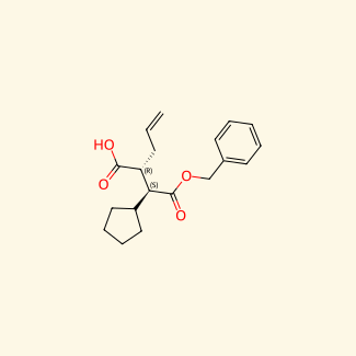 C=CC[C@@H](C(=O)O)[C@@H](C(=O)OCc1ccccc1)C1CCCC1